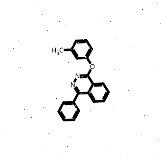 Cc1cccc(Oc2nnc(-c3ccccc3)c3ccccc23)c1